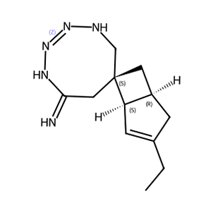 CCC1=C[C@@H]2[C@H](C1)C[C@@]21CN/N=N\NC(=N)C1